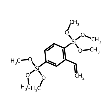 C=Cc1cc([Si](OC)(OC)OC)ccc1[Si](OC)(OC)OC